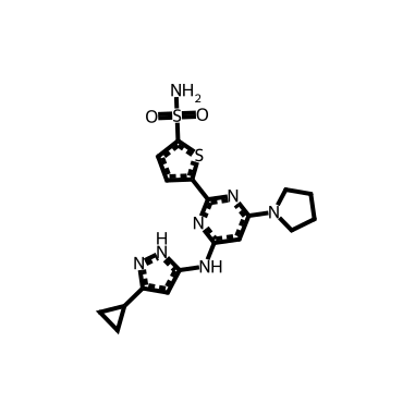 NS(=O)(=O)c1ccc(-c2nc(Nc3cc(C4CC4)n[nH]3)cc(N3CCCC3)n2)s1